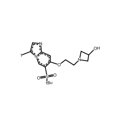 CC(C)(C)S(=O)(=O)c1cn2c(I)cnc2cc1OCCN1CC(O)C1